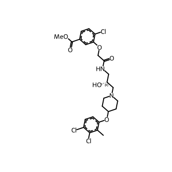 COC(=O)c1ccc(Cl)c(OCC(=O)NC[C@@H](O)CN2CCC(Oc3ccc(Cl)c(Cl)c3C)CC2)c1